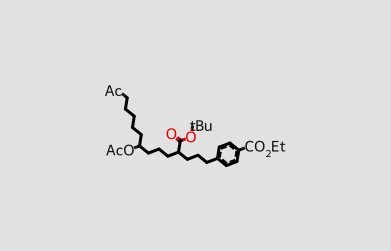 CCOC(=O)c1ccc(CCCC(CCCC(CCCCCC(C)=O)OC(C)=O)C(=O)OC(C)(C)C)cc1